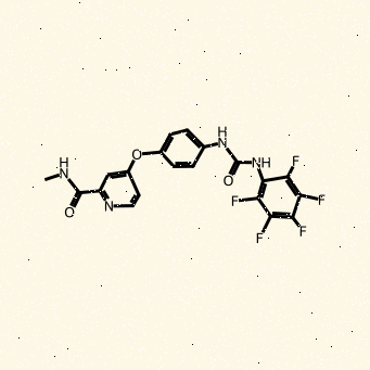 CNC(=O)c1cc(Oc2ccc(NC(=O)Nc3c(F)c(F)c(F)c(F)c3F)cc2)ccn1